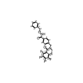 CN(Cc1ccc(C(=O)NOCc2ccccc2)cc1)C(=O)c1c(F)c(F)c(F)c(F)c1F